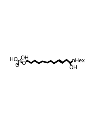 CCCCCCC(O)CC=CCCCCCCCCOP(=O)(O)O